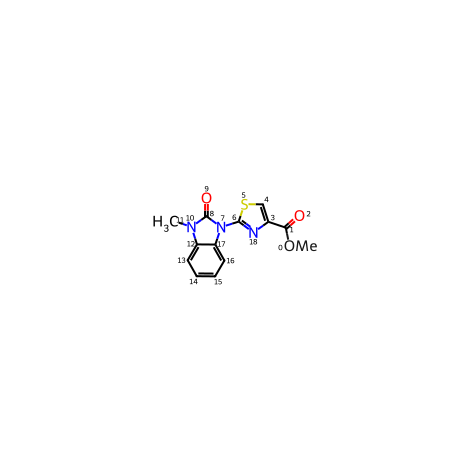 COC(=O)c1csc(-n2c(=O)n(C)c3ccccc32)n1